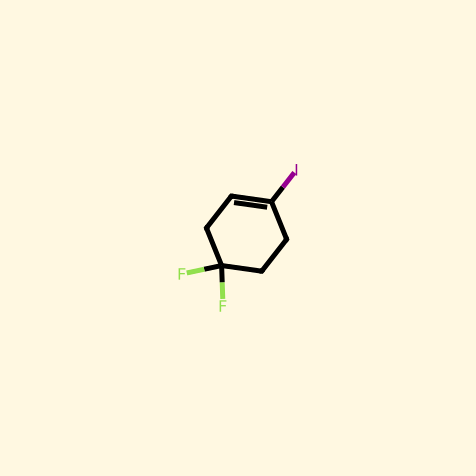 FC1(F)CC=C(I)CC1